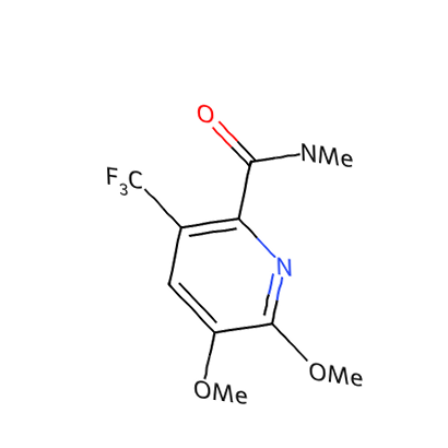 CNC(=O)c1nc(OC)c(OC)cc1C(F)(F)F